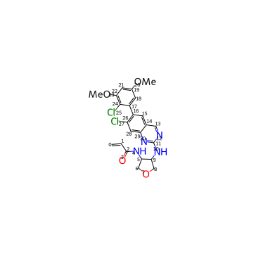 C=CC(=O)NC1COCC1Nc1ncc2cc(-c3cc(OC)cc(OC)c3Cl)c(Cl)cc2n1